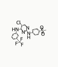 CS(=O)(=O)c1ccc(Nc2ncc(Cl)c(Nc3cccc(C(F)(F)F)c3)n2)cc1